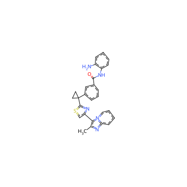 Cc1nc2ccccn2c1-c1csc(C2(c3cccc(C(=O)Nc4ccccc4N)c3)CC2)n1